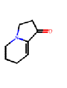 O=C1CCN2CCCC=C12